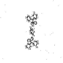 O=C(OCCN1CCN(CCOC(=O)C(c2ccccc2)c2ccccc2)CC1)C(c1ccccc1)c1ccccc1